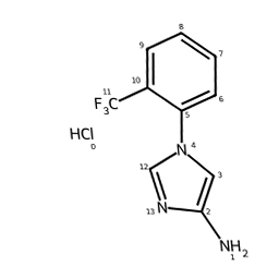 Cl.Nc1cn(-c2ccccc2C(F)(F)F)cn1